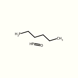 CCCCCP.O=P